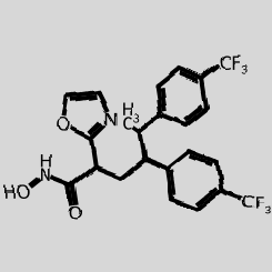 CC(c1ccc(C(F)(F)F)cc1)C(CC(C(=O)NO)c1ncco1)c1ccc(C(F)(F)F)cc1